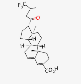 CC(CC(=O)[C@H]1CC[C@H]2[C@@H]3CC=C4C=C(C(=O)O)CC[C@@]4(C)[C@H]3CC[C@]12C)C(F)(F)F